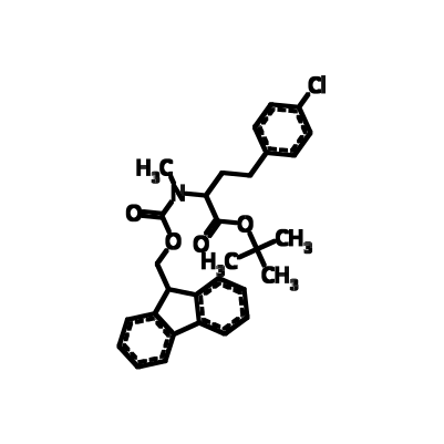 CN(C(=O)OCC1c2ccccc2-c2ccccc21)C(CCc1ccc(Cl)cc1)C(=O)OC(C)(C)C